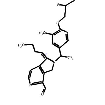 CCC/C=C1\c2ccnc(C=O)c2CN1C(C)c1cnc(OCC(F)F)c(C)c1